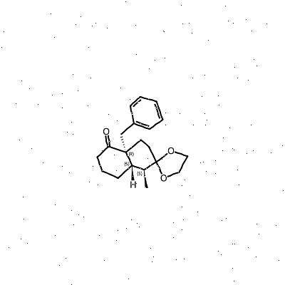 C[C@H]1[C@@H]2CCCC(=O)[C@@]2(Cc2ccccc2)CCC12OCCO2